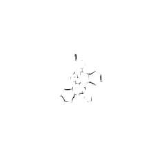 C=COC(=O)c1ccccc1N1C(=O)c2ccccc2C1=O